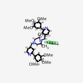 COc1cc(-c2cc(CN3C[C@@H](C)N(Cc4ccnc(-c5cc(OC)c(OC)c(OC)c5)c4)[C@@H](C)C3)ccn2)cc(OC)c1OC.Cl.Cl.Cl.Cl